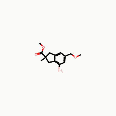 Bc1cc(COC)cc2c1CC(C)(C(=O)OC)C2